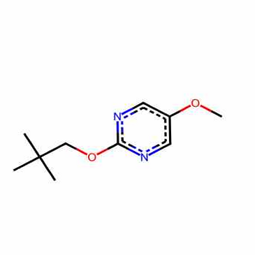 COc1cnc(OCC(C)(C)C)nc1